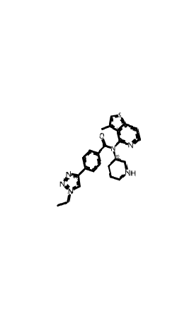 CCn1cc(-c2ccc(C(=O)N(c3nccc4scc(C)c34)[C@@H]3CCCNC3)cc2)nn1